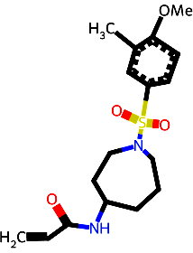 C=CC(=O)NC1CCCN(S(=O)(=O)c2ccc(OC)c(C)c2)CC1